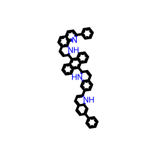 C1=CC2=CC=C(c3ccc4c(c3)NC(c3c5ccccc5c(C5C=Cc6ccc7ccc(-c8ccccc8)nc7c6N5)c5ccccc35)C=C4)NC2C=C1c1ccccc1